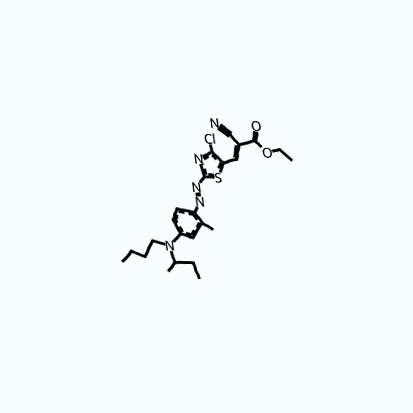 CCCCN(c1ccc(/N=N/c2nc(Cl)c(/C=C(\C#N)C(=O)OCC)s2)c(C)c1)C(C)CC